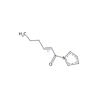 CCC/C=C/C(=O)n1cccc1